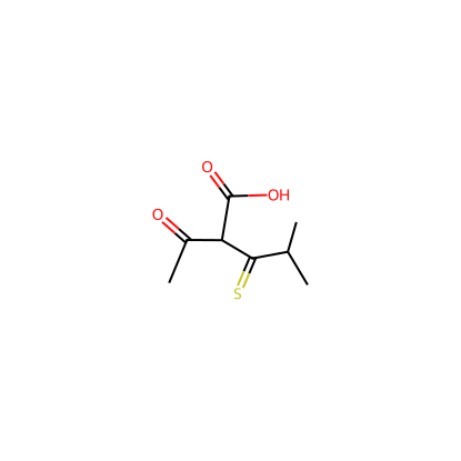 CC(=O)C(C(=O)O)C(=S)C(C)C